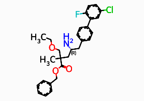 CCOCC(C)(C[C@H](N)Cc1ccc(-c2cc(Cl)ccc2F)cc1)C(=O)OCc1ccccc1